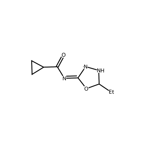 CCC1N[N]C(=NC(=O)C2CC2)O1